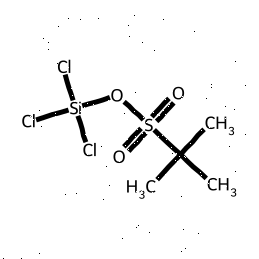 CC(C)(C)S(=O)(=O)O[Si](Cl)(Cl)Cl